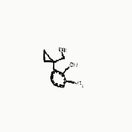 O=[N+]([O-])c1cccc(C2(CO)CC2)c1O